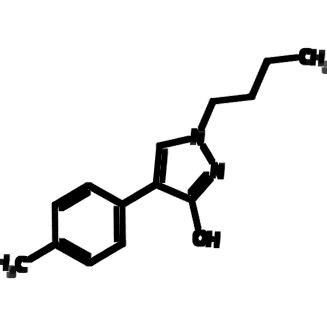 CCCCn1cc(-c2ccc(C)cc2)c(O)n1